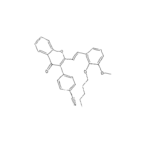 CCCCCOc1c(/C=C/c2oc3ccccc3c(=O)c2-c2ccc(C#N)cc2)cccc1OC